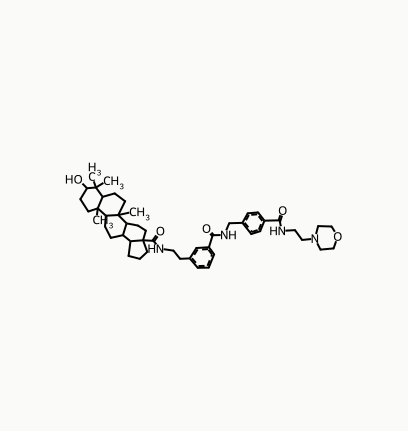 CC1(C)C(O)CCC2(C)C1CCC1(C)C3CCC4(C(=O)NCCc5cccc(C(=O)NCc6ccc(C(=O)NCCN7CCOCC7)cc6)c5)CCCC4C3CCC12